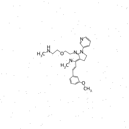 C=NC(/C=C/c1cccc(OC)c1)=C1/CCN(c2cccnc2)/C1=N/CCOCCNC